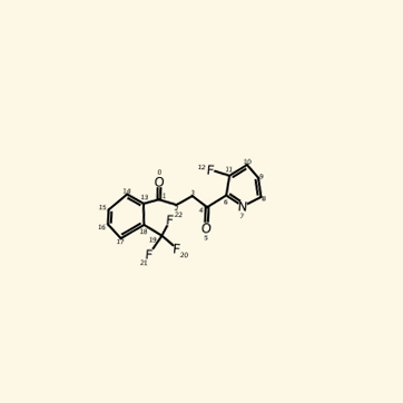 O=C(CCC(=O)c1ncccc1F)c1ccccc1C(F)(F)F